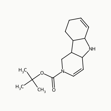 CC(C)(C)OC(=O)N1C=CC2NC3C=CCCC3C2C1